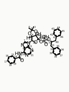 CC1(C)O[C@H]2[C@H](n3cnc4c(NC(=O)c5ccccc5)ncnc43)O[C@](F)(OP(=O)(O)OC(Cc3ccccc3)Cc3ccccc3)[C@H]2O1